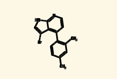 Cc1ccc(-c2ccnc3[nH]cc(Br)c23)c(C)c1